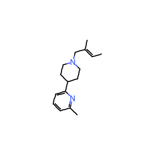 CC=C(C)CN1CCC(c2cccc(C)n2)CC1